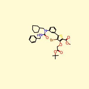 COC(=O)c1sc(-c2cccc(N(CC3CCCCC3)C(=O)NCc3ccccc3)c2)c(Br)c1OCC(=O)OC(C)(C)C